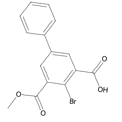 COC(=O)c1cc(-c2ccccc2)cc(C(=O)O)c1Br